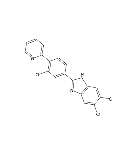 Clc1cc2nc(-c3ccc(-c4ccccn4)c(Cl)c3)[nH]c2cc1Cl